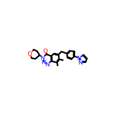 Cc1c(Cc2ccc(-n3cccn3)cc2)cc2c(=O)n(C3CCOCC3)nnc2c1C